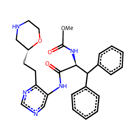 COC(=O)N[C@H](C(=O)Nc1cncnc1CC[C@@H]1CNCCO1)C(c1ccccc1)c1ccccc1